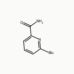 CCC(C)c1cccc(C(N)=O)n1